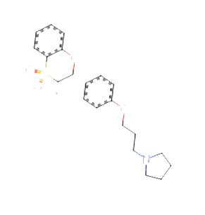 CC[C@H]1[C@@H](c2ccc(OCCCN3CCCC3)cc2)Oc2ccccc2S1(=O)=O